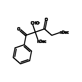 CCCCCCCCCCCC(=O)C([C]=O)(CCCCCCCCCC)C(=O)c1ccccc1